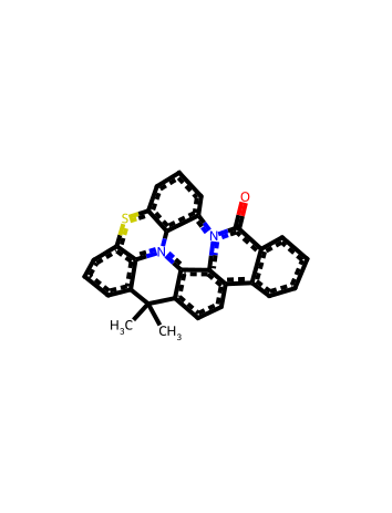 CC1(C)c2cccc3sc4cccc5c4-n(c23)c2c1ccc1c3ccccc3c(=O)n5c12